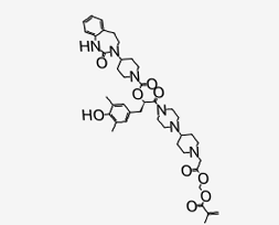 C=C(C)C(=O)OCOC(=O)CN1CCC(N2CCN(C(=O)[C@@H](Cc3cc(C)c(O)c(C)c3)OC(=O)N3CCC(N4CCc5ccccc5NC4=O)CC3)CC2)CC1